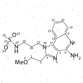 COCCc1nc2c(N)nc3ccccc3c2n1CCCNS(C)(=O)=O